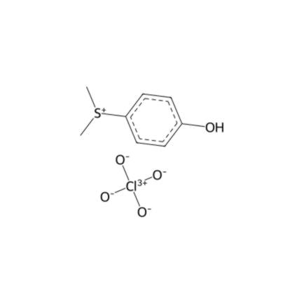 C[S+](C)c1ccc(O)cc1.[O-][Cl+3]([O-])([O-])[O-]